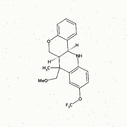 COCC1(C)c2cc(OC(F)(F)F)ccc2N[C@@H]2c3ccccc3OC[C@@H]21